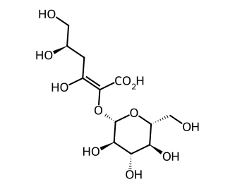 O=C(O)/C(O[C@@H]1O[C@H](CO)[C@@H](O)[C@H](O)[C@H]1O)=C(/O)C[C@@H](O)CO